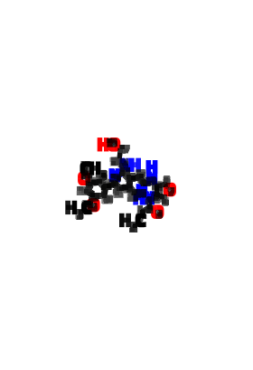 C=CC(=O)N[C@H]1COC[C@H]1Nc1cc2c(NCCO)nc(-c3cc(OC)cc(OC)c3)cc2cn1